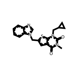 Cn1c(=O)c2cc(Cn3cnc4ccccc43)sc2n(CC2CC2)c1=O